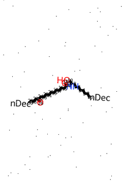 CCCCCCCCCCCCCCCCCC[C@H](CO)NC(=O)CCCCCCCCCCC(=O)CCCCCCCCCCCCC